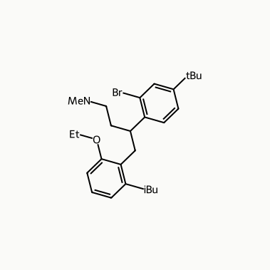 CCOc1cccc(C(C)CC)c1CC(CCNC)c1ccc(C(C)(C)C)cc1Br